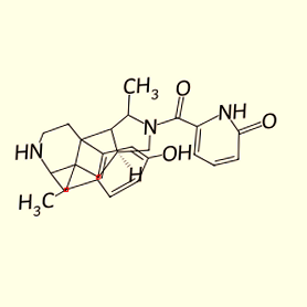 CCC12C[C@@H]3CN(C(=O)c4cccc(=O)[nH]4)C(C)C3C13CCNC2Cc1ccc(O)cc13